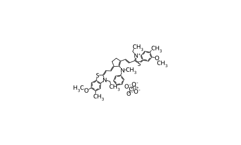 CCN1C(=CC=C2CCC(C=Cc3sc4cc(OC)c(C)cc4[n+]3CC)=C2N(C)c2ccccc2)Sc2cc(OC)c(C)cc21.[O-][Cl+3]([O-])([O-])[O-]